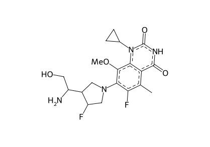 COc1c(N2CC(F)C(C(N)CO)C2)c(F)c(C)c2c(=O)[nH]c(=O)n(C3CC3)c12